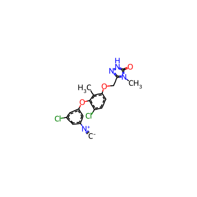 [C-]#[N+]c1cc(Cl)cc(Oc2c(Cl)ccc(OCc3n[nH]c(=O)n3C)c2C)c1